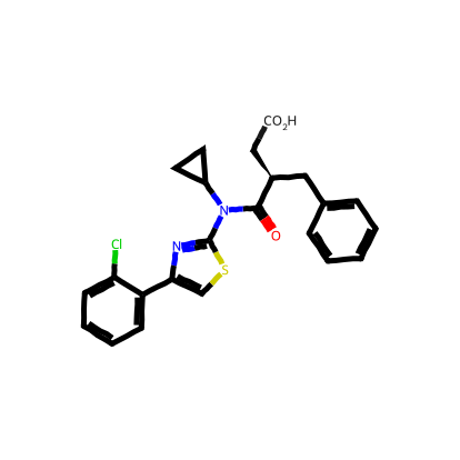 O=C(O)C[C@@H](Cc1ccccc1)C(=O)N(c1nc(-c2ccccc2Cl)cs1)C1CC1